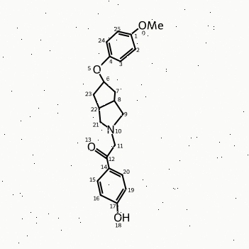 COc1ccc(OC2CC3CN(CC(=O)c4ccc(O)cc4)CC3C2)cc1